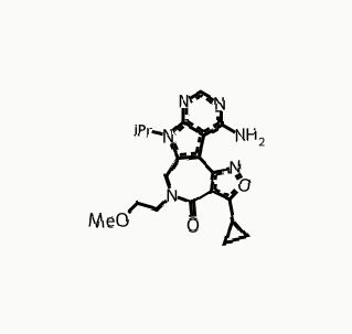 COCCN1Cc2c(c3c(N)ncnc3n2C(C)C)-c2noc(C3CC3)c2C1=O